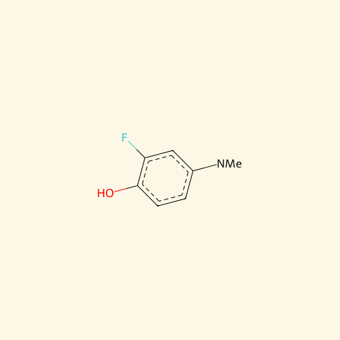 [CH2]Nc1ccc(O)c(F)c1